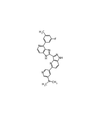 Cc1cc(F)cc(-c2nccc3[nH]c(-c4n[nH]c5ccc(-c6cncc(N(C)C)c6)nc45)nc23)c1